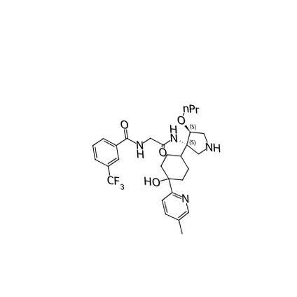 CCCO[C@H]1CNC[C@@]1(NC(=O)CNC(=O)c1cccc(C(F)(F)F)c1)C1CCC(O)(c2ccc(C)cn2)CC1